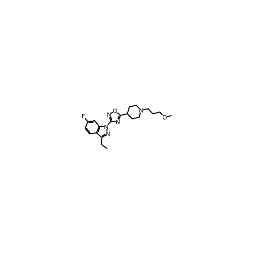 CCc1nn(-c2noc(C3CCN(CCCOC)CC3)n2)c2cc(F)ccc12